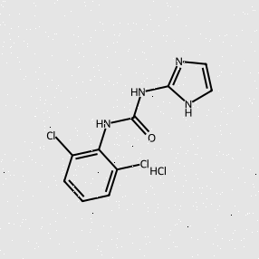 Cl.O=C(Nc1ncc[nH]1)Nc1c(Cl)cccc1Cl